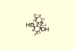 C=C(C)C1(O)C=C(C)C=C(O)[C@H]1C1C=C(C)CCC1